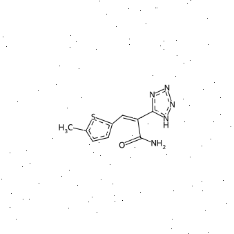 Cc1ccc(C=C(C(N)=O)c2nnn[nH]2)s1